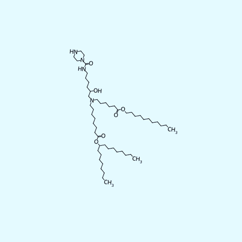 CCCCCCCCCCCOC(=O)CCCCCN(CCCCCCCC(=O)OC(CCCCCCCC)CCCCCCCC)CC(O)CCCCNC(=O)N1CCNCC1